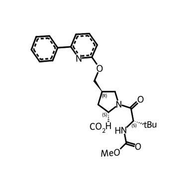 COC(=O)N[C@H](C(=O)N1C[C@H](COc2cccc(-c3ccccc3)n2)C[C@H]1C(=O)O)C(C)(C)C